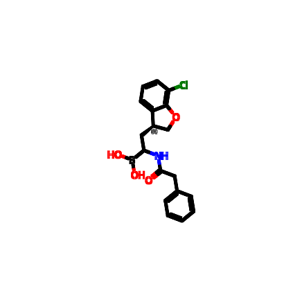 O=C(Cc1ccccc1)NC(C[C@@H]1COc2c(Cl)cccc21)B(O)O